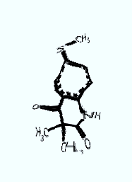 CSc1ccc2c(c1)C(=O)C(C)(C)C(=O)N2